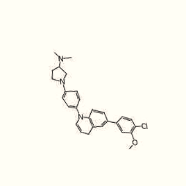 COc1cc(-c2ccc3c(c2)CC=CN3c2ccc(N3CCC(N(C)C)C3)cc2)ccc1Cl